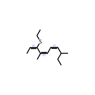 C\C=C(SCC)/C(C)=C\C=C/C(C)CC